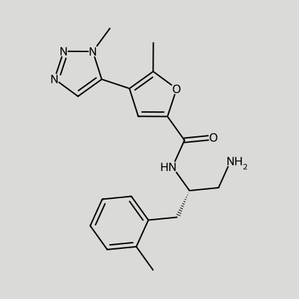 Cc1ccccc1C[C@@H](CN)NC(=O)c1cc(-c2cnnn2C)c(C)o1